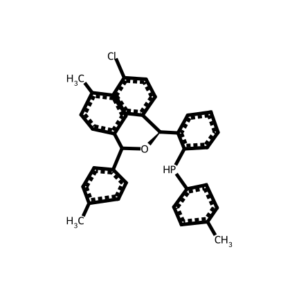 Cc1ccc(Pc2ccccc2[C@@H](OC(c2ccc(C)cc2)c2ccc(C)cc2)c2ccc(Cl)cc2)cc1